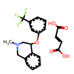 CN1Cc2ccccc2C(Oc2cccc(C(F)(F)F)c2)C1.O=C(O)C=CC(=O)O